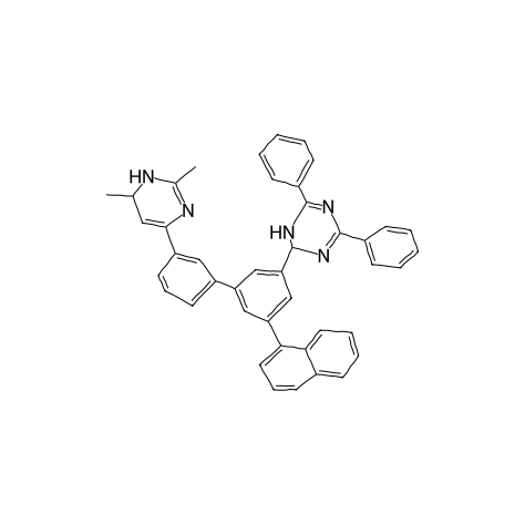 CC1=NC(c2cccc(-c3cc(-c4cccc5ccccc45)cc(C4N=C(c5ccccc5)N=C(c5ccccc5)N4)c3)c2)=CC(C)N1